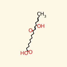 CCC=CCC(O)C=CC(=O)CCCCCCCCC(=O)O